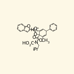 CC1=CC(c2ccccc2)C=C(C)C1(OC(=O)c1cc2ccccc2o1)S(=O)(=O)N(CC(C)C)C(=O)O